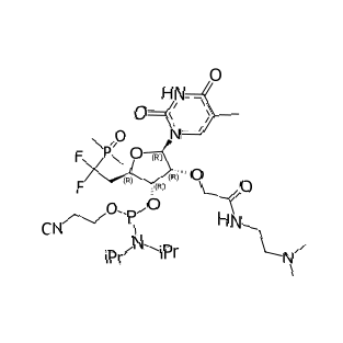 [C-]#[N+]CCOP(O[C@H]1[C@@H](OCC(=O)NCCN(C)C)[C@H](n2cc(C)c(=O)[nH]c2=O)O[C@@H]1CC(F)(F)P(C)(C)=O)N(C(C)C)C(C)C